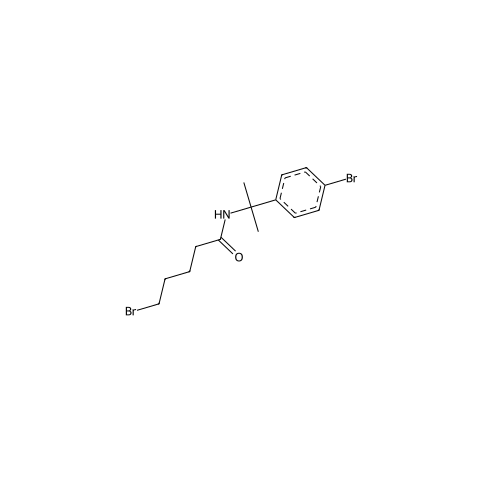 CC(C)(NC(=O)CCCCBr)c1ccc(Br)cc1